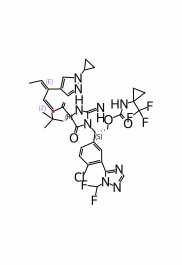 C=C(/C=C\C(=C/C)c1cnn(C2CC2)c1)[C@@]1(CC(C)(C)C)NC(=N)N([C@H](COC(=O)NC2(C(F)(F)F)CC2)c2ccc(Cl)c(-c3ncnn3C(F)F)c2)C1=O